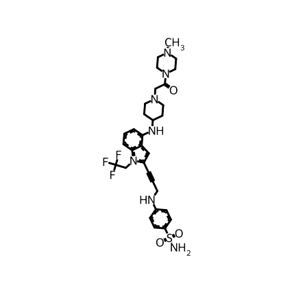 CN1CCN(C(=O)CN2CCC(Nc3cccc4c3cc(C#CCNc3ccc(S(N)(=O)=O)cc3)n4CC(F)(F)F)CC2)CC1